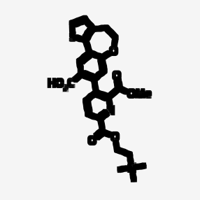 COC(=O)c1nc(C(=O)OCC[Si](C)(C)C)ccc1-c1cc2c(cc1C(=O)O)-c1sccc1CCO2